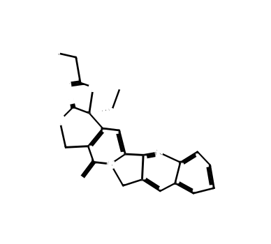 CC[C@@]1(OC(=O)CI)C(=O)OCc2c1cc1n(c2=O)Cc2cc3ccccc3nc2-1